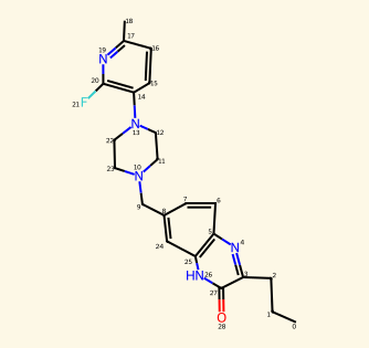 CCCc1nc2ccc(CN3CCN(c4ccc(C)nc4F)CC3)cc2[nH]c1=O